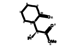 COC(=O)[C@H](C(C)C)N1CCCCC1=O